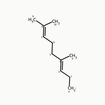 [CH2]C/C=C(\C)CCC=C(C)C